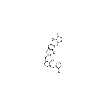 O=C1CCCN1CN1CCN(CNCN2CCN(CN3CCNC3=O)C2=O)C1=O